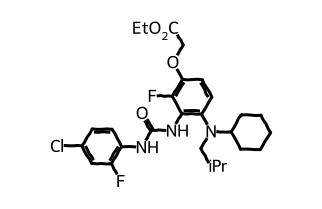 CCOC(=O)COc1ccc(N(CC(C)C)C2CCCCC2)c(NC(=O)Nc2ccc(Cl)cc2F)c1F